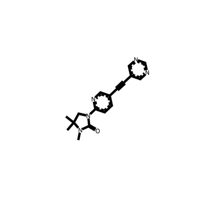 CN1C(=O)N(c2ccc(C#Cc3cncnc3)cn2)CC1(C)C